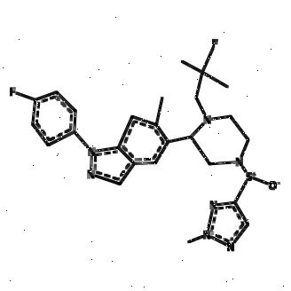 Cc1cc2c(cnn2-c2ccc(F)cc2)cc1C1CN([S+]([O-])c2cnn(C)n2)CCN1CC(C)(C)F